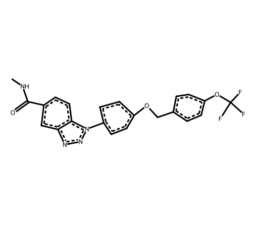 CNC(=O)c1ccc2c(c1)nnn2-c1ccc(OCc2ccc(OC(F)(F)F)cc2)cc1